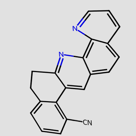 N#Cc1cccc2c1-c1cc3ccc4cccnc4c3nc1CC2